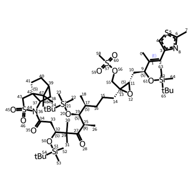 C/C(=C\c1csc(C)n1)[C@H](C[C@@H]1O[C@@]1(CCC[C@H](C)[C@H](O[Si](C)(C)C(C)(C)C)[C@@H](C)C(=O)C(C)(C)[C@H](CC(=O)N1C2CC3CC[C@]2(CS1(=O)=O)C3(C)C)O[Si](C)(C)C(C)(C)C)COS(C)(=O)=O)O[Si](C)(C)C(C)(C)C